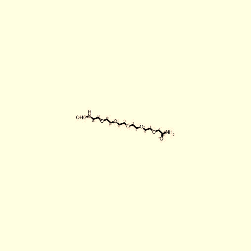 NC(=O)COCCOCCOCCOCCOCCNC=O